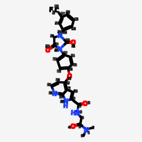 CN(C)C(=O)CNC(=O)c1cc2c(Oc3ccc(N4C(=O)CN(c5cccc(C(F)(F)F)c5)C4=O)cc3)ccnc2[nH]1